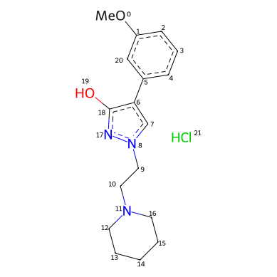 COc1cccc(-c2cn(CCN3CCCCC3)nc2O)c1.Cl